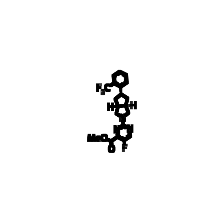 COC(=O)c1nc(N2C[C@H]3C[C@@H](c4ccccc4C(F)(F)F)C[C@H]3C2)ncc1F